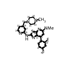 CNc1cc(-c2ccc(F)cc2F)c2nc(Nc3cc(CN4CCN(C)CC4)ccn3)sc2n1